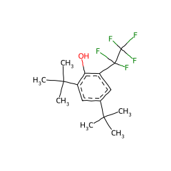 CC(C)(C)c1cc(C(C)(C)C)c(O)c(C(F)(F)C(F)(F)F)c1